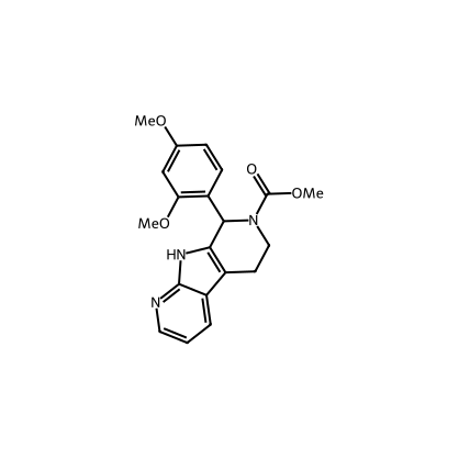 COC(=O)N1CCc2c([nH]c3ncccc23)C1c1ccc(OC)cc1OC